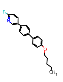 CCCCCOc1ccc(-c2ccc(-c3ccc(F)nc3)cc2)cc1